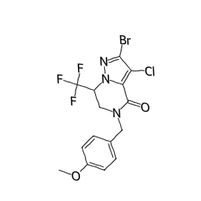 COc1ccc(CN2CC(C(F)(F)F)n3nc(Br)c(Cl)c3C2=O)cc1